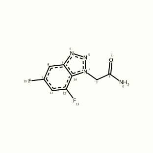 NC(=O)Cn1nnc2cc(F)cc(F)c21